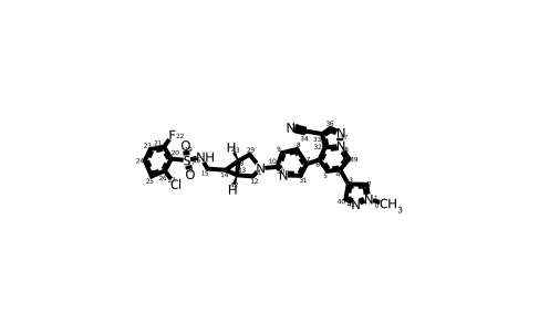 Cn1cc(-c2cc(-c3ccc(N4C[C@@H]5C(CNS(=O)(=O)c6c(F)cccc6Cl)[C@@H]5C4)nc3)c3c(C#N)cnn3c2)cn1